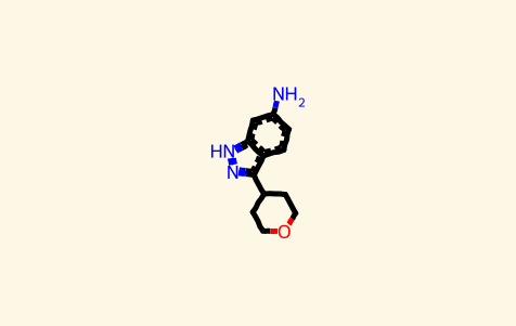 Nc1ccc2c(C3CCOCC3)n[nH]c2c1